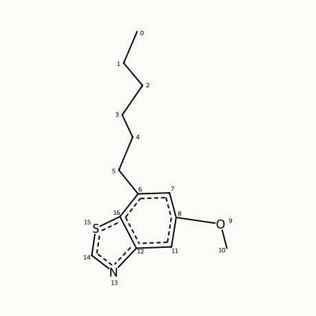 CCCCCCc1cc(OC)cc2ncsc12